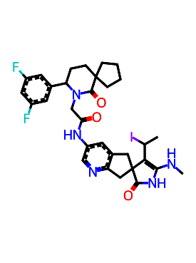 CNC1=C(C(C)I)C2(Cc3cc(NC(=O)CN4C(=O)C5(CCCC5)CCC4c4cc(F)cc(F)c4)cnc3C2)C(=O)N1